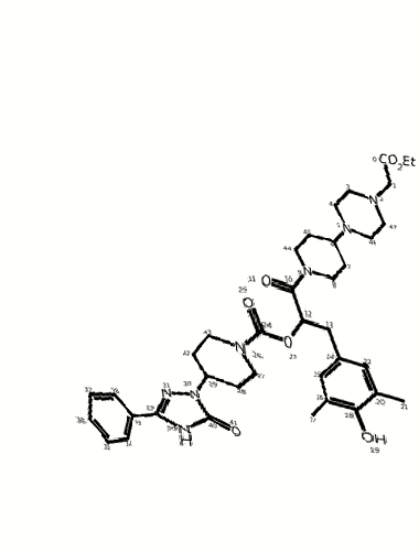 CCOC(=O)CN1CCN(C2CCN(C(=O)C(Cc3cc(C)c(O)c(C)c3)OC(=O)N3CCC(n4nc(-c5ccccc5)[nH]c4=O)CC3)CC2)CC1